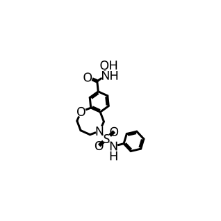 O=C(NO)c1ccc2c(c1)OCCCN(S(=O)(=O)Nc1ccccc1)C2